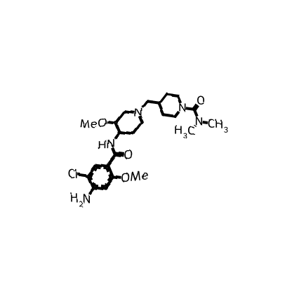 COc1cc(N)c(Cl)cc1C(=O)NC1CCN(CC2CCN(C(=O)N(C)C)CC2)CC1OC